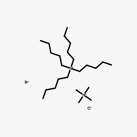 CCCCC[N+](CCCCC)(CCCCC)CCCCC.C[N+](C)(C)C.[Br-].[Cl-]